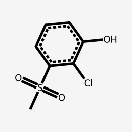 CS(=O)(=O)c1cccc(O)c1Cl